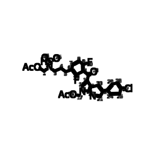 CC(=O)OCN(CCCc1ccc(F)c(C(=O)c2cn(COC(C)=O)c3ncc(-c4ccc(Cl)cc4)cc23)c1F)[SH](=O)=O